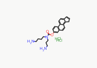 Cl.Cl.NCCCCN(CCCN)C(=O)Oc1ccc2c(ccc3c4c(ccc32)C=CC4)c1